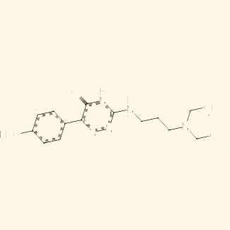 CCN(CC)CCCNc1nnc(-c2ccc(C)cc2)c(=O)[nH]1